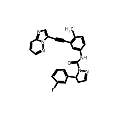 Cc1ccc(NC(=O)N2N=CCC2c2cccc(F)c2)cc1C#Cc1cnc2cccnn12